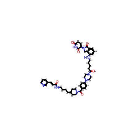 O=C(/C=C/c1cccnc1)NCCCCC1CCN(C(=O)c2ccc(N3CCN(C(=O)CCCCNc4cccc5c4CN(C4CCC(=O)NC4=O)C5=O)CC3)cc2)CC1